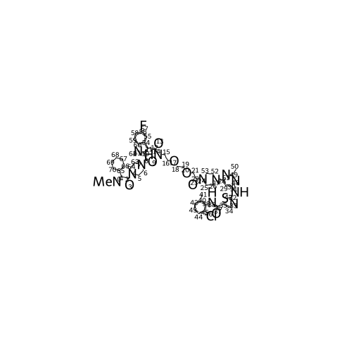 CNC(C(=O)N1CCN(C(=O)c2c(C(=O)NCCOCCOCC(=O)N3CCN(c4cc(Nc5ncc(C(=O)Nc6c(C)cccc6Cl)s5)nc(C)n4)CC3)c3cc(F)ccc3n2C)CC1)C1CCCCC1